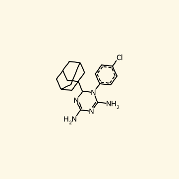 NC1=NC(C23CC4CC(CC(C4)C2)C3)N(c2ccc(Cl)cc2)C(N)=N1